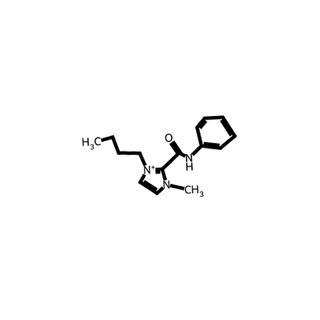 CCCC[n+]1ccn(C)c1C(=O)Nc1ccccc1